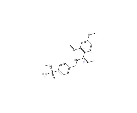 C=Nc1cc(OC)ccc1/C(=C\C)NCc1ccc(S(N)(=O)=NC)cc1